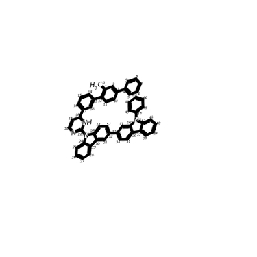 Cc1cc(-c2ccccc2)ccc1-c1cccc(C2C=CN=C(n3c4ccccc4c4cc(-c5ccc6c7ccccc7n(-c7ccccc7)c6c5)ccc43)N2)c1